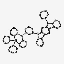 c1ccc(-n2c3ccccc3c3cc4c5ccccc5n(-c5cccc(N6c7ccccc7[Si](c7ccccc7)(c7ccccc7)c7ccccc76)c5)c4cc32)cc1